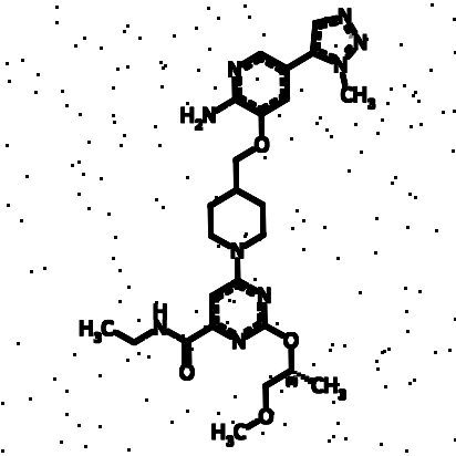 CCNC(=O)c1cc(N2CCC(COc3cc(-c4cnnn4C)cnc3N)CC2)nc(O[C@H](C)COC)n1